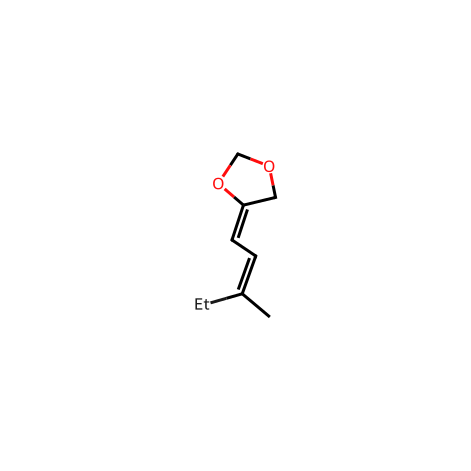 CC/C(C)=C\C=C1/COCO1